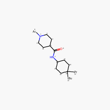 CC(=O)N1CCC(C(=O)NC2CCC(C(C)C)(C(C)(C)C)CC2)CC1